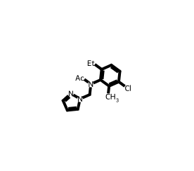 CCc1ccc(Cl)c(C)c1N(Cn1cccn1)C(C)=O